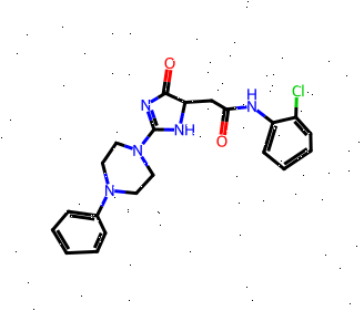 O=C(CC1NC(N2CCN(c3ccccc3)CC2)=NC1=O)Nc1ccccc1Cl